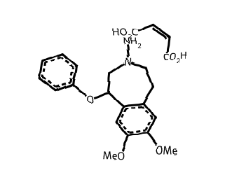 COc1cc2c(cc1OC)C(Oc1ccccc1)CN(N)CC2.O=C(O)/C=C\C(=O)O